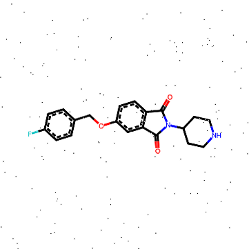 O=C1c2ccc(OCc3ccc(F)cc3)cc2C(=O)N1C1CCNCC1